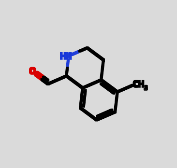 Cc1cccc2c1CCNC2C=O